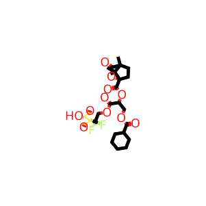 CC12CCC(C(=O)OC(COC(=O)C3CCCCC3)C(=O)OCC(F)(F)S(=O)(=O)O)(OC1=O)C2(C)C